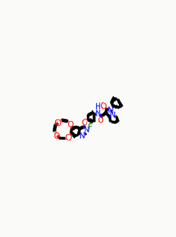 O=C(Nc1ccc(Oc2ncnc3cc4c(cc23)OCCOCCOCCO4)c(F)c1)c1c2n(n(-c3ccccc3)c1=O)CCCC2